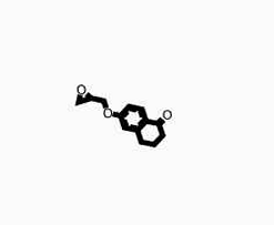 O=C1CCCc2cc(OCC3CO3)ccc21